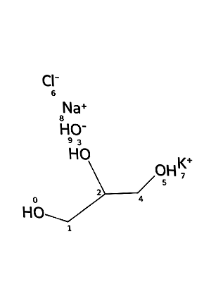 OCC(O)CO.[Cl-].[K+].[Na+].[OH-]